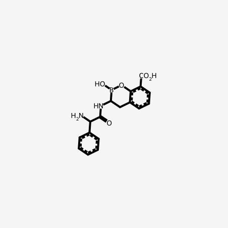 NC(C(=O)NC1Cc2cccc(C(=O)O)c2OB1O)c1ccccc1